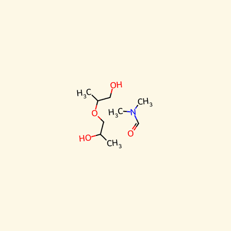 CC(O)COC(C)CO.CN(C)C=O